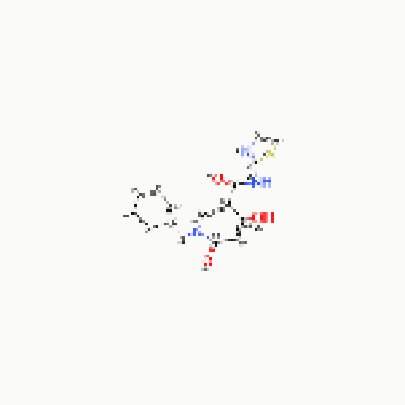 O=C(Nc1nccs1)c1cn(Cc2ccccc2)c(=O)cc1O